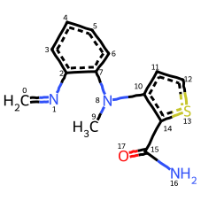 C=Nc1ccccc1N(C)c1ccsc1C(N)=O